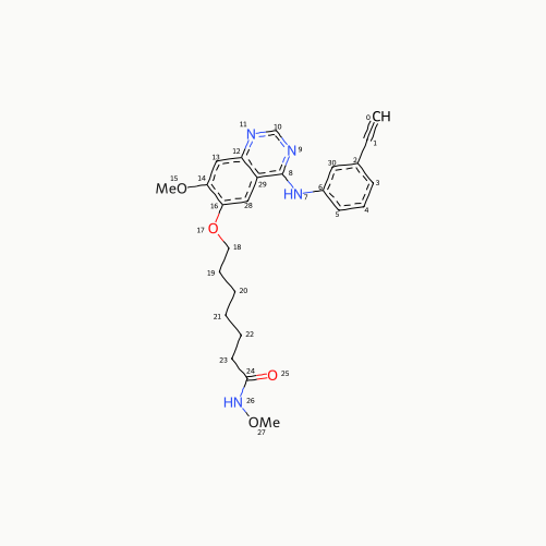 C#Cc1cccc(Nc2ncnc3cc(OC)c(OCCCCCCC(=O)NOC)cc23)c1